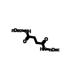 CCCCCCCCCCNC(=O)CCC(=O)NCCCCCCCCCC